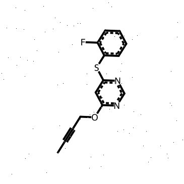 CC#CCOc1cc(Sc2ccccc2F)ncn1